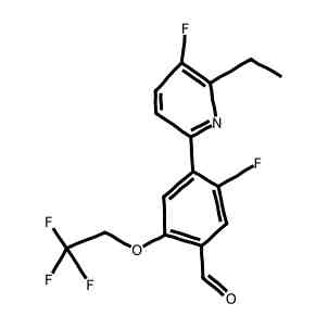 CCc1nc(-c2cc(OCC(F)(F)F)c(C=O)cc2F)ccc1F